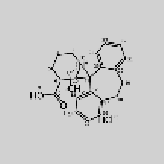 CC[N@@+]12CCCC(C(=O)O)C1C21c2ccccc2CCc2ccccc21.Cl